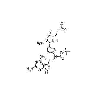 CC(C)(C)OC(=O)N(CCc1c[nH]c2nc(N)nc(N)c12)c1ccc(C(=O)N[C@H](CCC(=O)[O-])C(=O)[O-])s1.[Na+].[Na+]